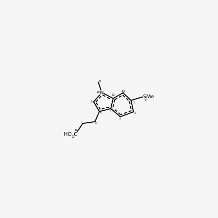 CSc1ccc2c(CCC(=O)O)cn(C)c2c1